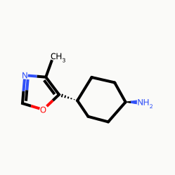 Cc1ncoc1[C@H]1CC[C@H](N)CC1